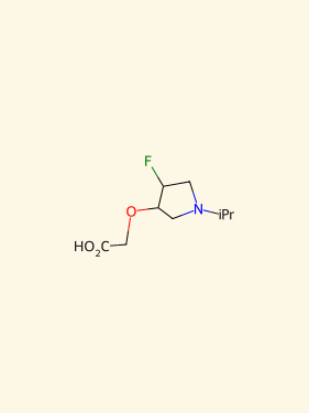 CC(C)N1CC(F)C(OCC(=O)O)C1